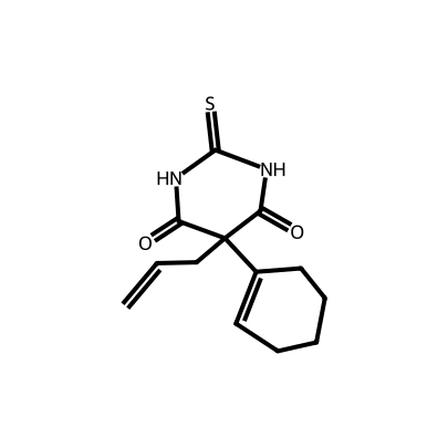 C=CCC1(C2=CCCCC2)C(=O)NC(=S)NC1=O